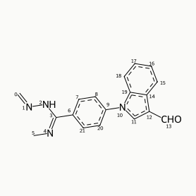 C=NN/C(=N\C)c1ccc(-n2cc(C=O)c3ccccc32)cc1